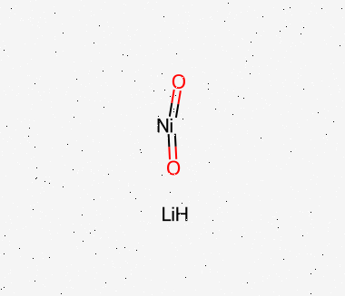 [LiH].[O]=[Ni]=[O]